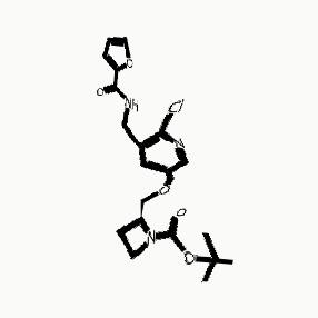 CC(C)(C)OC(=O)N1CC[C@H]1COc1cnc(Cl)c(CNC(=O)c2ccco2)c1